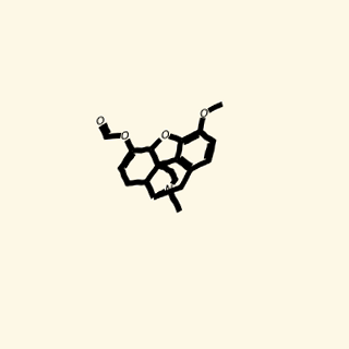 COc1ccc2c3c1OC1C(OC=O)=CCC4C(C2)N(C)CCC314